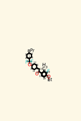 CCCC1CCC(C(F)(F)OC2CCC(CC(=O)c3ccc(OCC)c(F)c3C)CC2)CC1